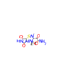 CCNC(C(=O)C(N)=O)N(C)SC1CC(=O)NC1=O